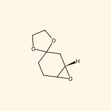 C1COC2(CCC3O[C@H]3C2)O1